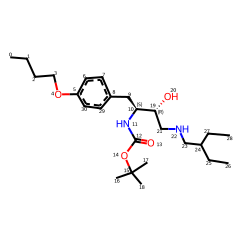 CCCCOc1ccc(C[C@H](NC(=O)OC(C)(C)C)[C@H](O)CNCC(CC)CC)cc1